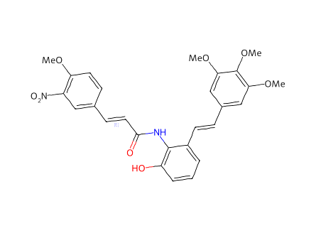 COc1ccc(/C=C/C(=O)Nc2c(O)cccc2C=Cc2cc(OC)c(OC)c(OC)c2)cc1[N+](=O)[O-]